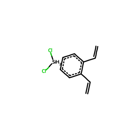 C=Cc1ccccc1C=C.Cl[SiH2]Cl